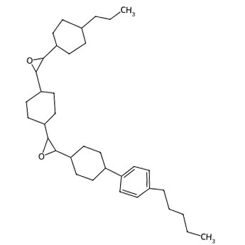 CCCCCc1ccc(C2CCC(C3OC3C3CCC(C4OC4C4CCC(CCC)CC4)CC3)CC2)cc1